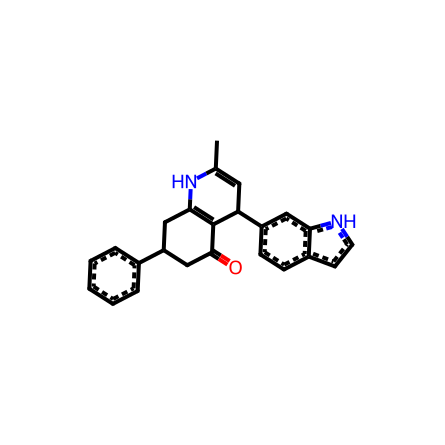 CC1=CC(c2ccc3cc[nH]c3c2)C2=C(CC(c3ccccc3)CC2=O)N1